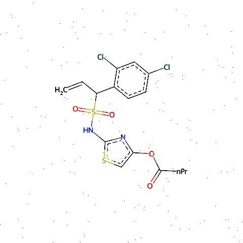 C=CC(c1ccc(Cl)cc1Cl)S(=O)(=O)Nc1nc(OC(=O)CCC)cs1